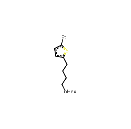 [CH2]Cc1ccc(CCCCCCCCCC)s1